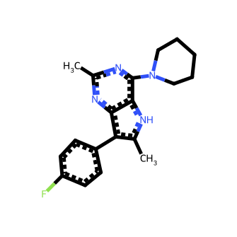 Cc1nc(N2CCCCC2)c2[nH]c(C)c(-c3ccc(F)cc3)c2n1